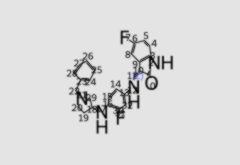 O=C1Nc2ccc(F)cc2/C1=C/Nc1ccc(NC2CCN(Cc3ccccc3)C2)c(F)c1